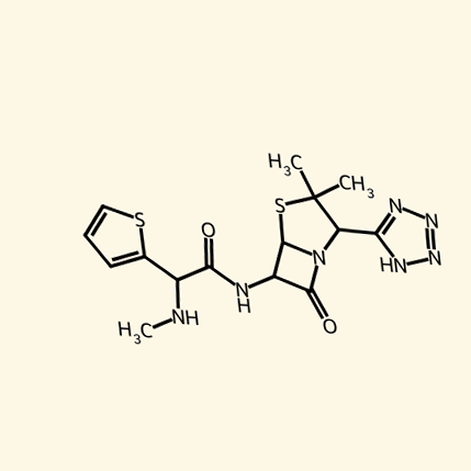 CNC(C(=O)NC1C(=O)N2C1SC(C)(C)C2c1nnn[nH]1)c1cccs1